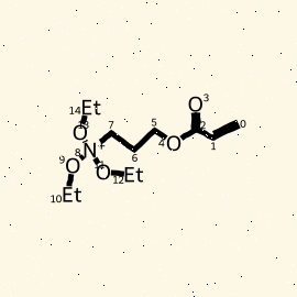 C=CC(=O)OCCC[N+](OCC)(OCC)OCC